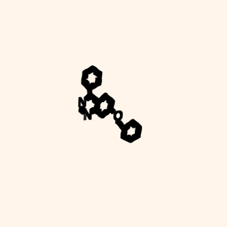 c1ccc(COc2ccc3c(-c4ccccc4)ncnc3c2)cc1